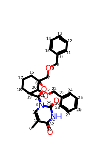 Cc1cn(C2OC3(COCc4ccccc4)CCCC2C3OCc2ccccc2)c(=O)[nH]c1=O